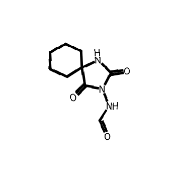 O=CNN1C(=O)NC2(CCCCC2)C1=O